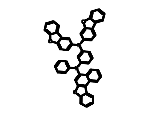 c1ccc(N(c2cccc(N(c3ccc4c(c3)oc3ccccc34)c3ccc4oc5ccccc5c4c3)c2)c2cc3oc4ccccc4c3c3ccccc23)cc1